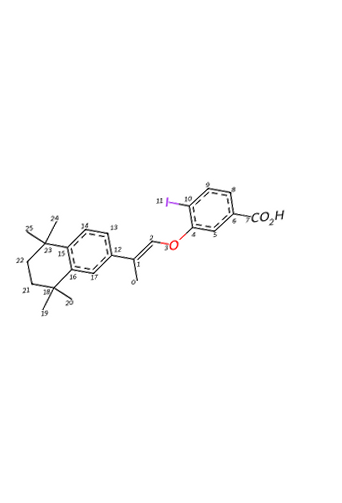 C/C(=C\Oc1cc(C(=O)O)ccc1I)c1ccc2c(c1)C(C)(C)CCC2(C)C